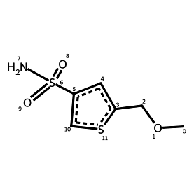 COCc1cc(S(N)(=O)=O)cs1